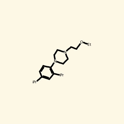 CCOCCN1CCN(c2ccc(C(C)C)cc2C(C)C)CC1